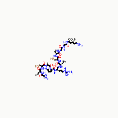 CC(C)C[C@H](NC(=O)[C@H](C)N)C(=O)N[C@@H](CS)C(=O)N[C@@H](C)C(=O)N1CCC[C@H]1C(=O)N[C@@H](CCCNC(=N)N)C(=O)N[C@@H](CC(C)C)C(=O)N[C@@H](CS)C(=O)N[C@@H](CC(C)C)C(=O)NCC(=O)NCC(=O)N[C@@H](CCCCN)C(=O)O